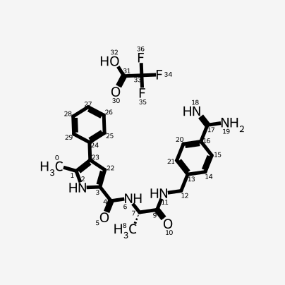 Cc1[nH]c(C(=O)N[C@@H](C)C(=O)NCc2ccc(C(=N)N)cc2)cc1-c1ccccc1.O=C(O)C(F)(F)F